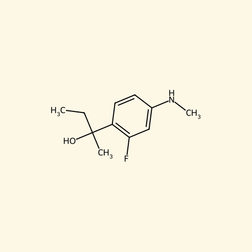 CCC(C)(O)c1ccc(NC)cc1F